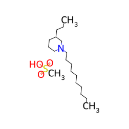 CCCCCCCCCCN1CCCC(CCC)C1.CS(=O)(=O)O